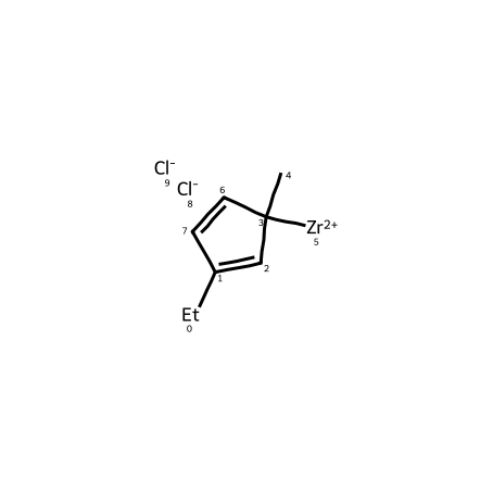 CCC1=C[C](C)([Zr+2])C=C1.[Cl-].[Cl-]